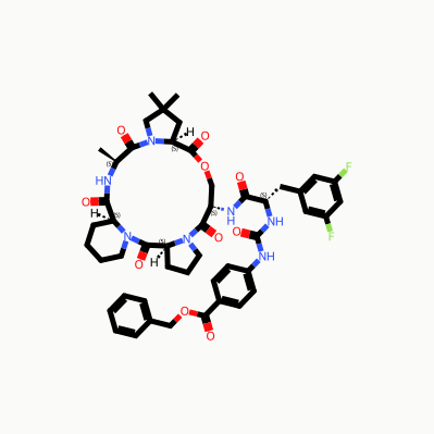 C[C@@H]1NC(=O)[C@@H]2CCCCN2C(=O)[C@@H]2CCCN2C(=O)[C@@H](NC(=O)[C@H](Cc2cc(F)cc(F)c2)NC(=O)Nc2ccc(C(=O)OCc3ccccc3)cc2)COC(=O)[C@@H]2CC(C)(C)CN2C1=O